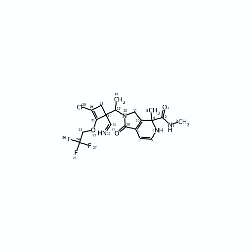 CNC(=O)C1(C)NC=CC2=C1CN(C(C)C1(C=N)CC(Cl)=C1OCC(F)(F)F)C2=O